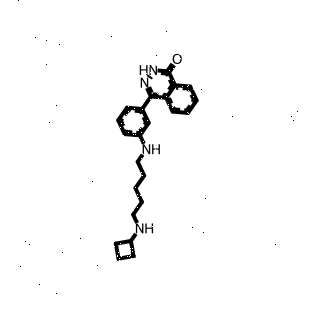 O=c1[nH]nc(-c2cccc(NCCCCCNC3CCC3)c2)c2ccccc12